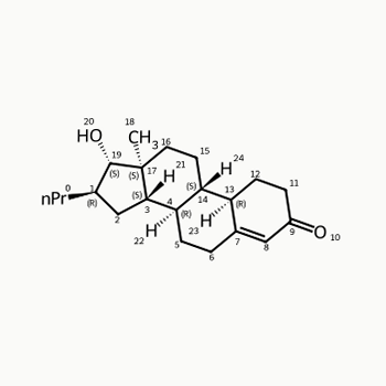 CCC[C@@H]1C[C@H]2[C@@H]3CCC4=CC(=O)CC[C@@H]4[C@H]3CC[C@]2(C)[C@H]1O